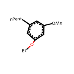 CCCCCc1cc(OC)cc(OCC)c1